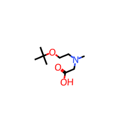 CN(CCOC(C)(C)C)CC(=O)O